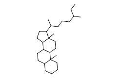 CCC(C)CCCC(C)C1CCC2C3CCC4CCCCC4(C)C3CCC12C